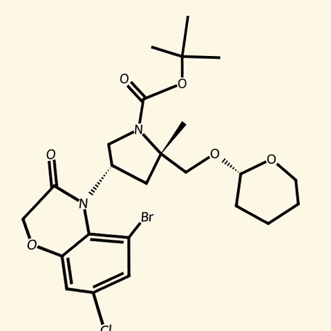 CC(C)(C)OC(=O)N1C[C@@H](N2C(=O)COc3cc(Cl)cc(Br)c32)C[C@@]1(C)CO[C@H]1CCCCO1